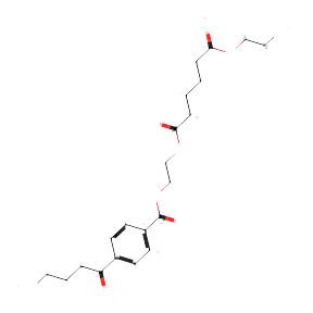 CC(=O)OCCCC(=O)c1ccc(C(=O)OCCOC(=O)CCCCC(=O)OCCOC(C)=O)cc1